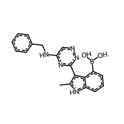 Cc1[nH]c2cccc(B(O)O)c2c1-c1nncc(NCc2ccccc2)n1